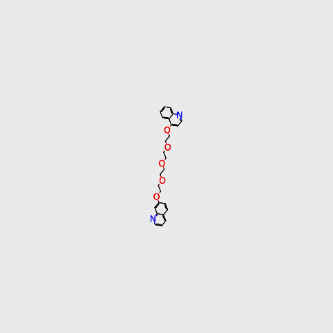 c1cnc2cc(OCCOCCOCCOCCOc3ccnc4ccccc34)ccc2c1